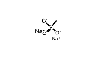 CP(=O)([O-])[O-].[Na+].[Na+]